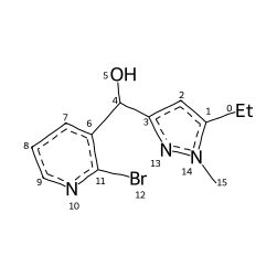 CCc1cc(C(O)c2cccnc2Br)nn1C